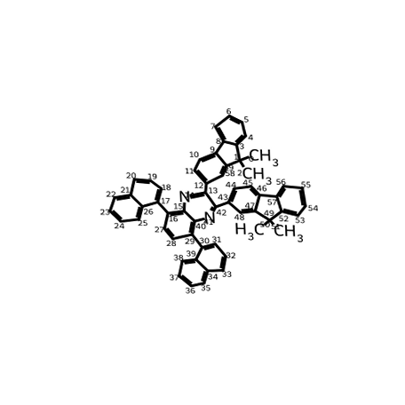 CC1(C)c2ccccc2-c2ccc(-c3nc4c(-c5cccc6ccccc56)ccc(-c5cccc6ccccc56)c4nc3-c3ccc4c(c3)C(C)(C)c3ccccc3-4)cc21